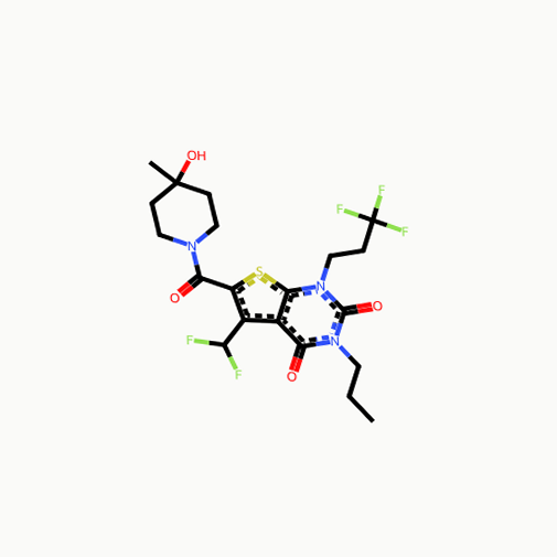 CCCn1c(=O)c2c(C(F)F)c(C(=O)N3CCC(C)(O)CC3)sc2n(CCC(F)(F)F)c1=O